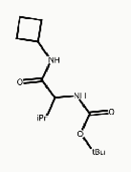 CC(C)C(NC(=O)OC(C)(C)C)C(=O)NC1CCC1